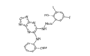 COc1ccccc1Nc1nc2nonc2nc1NN=Cc1cc(I)cc(I)c1O